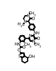 Cc1c(NC(=O)Oc2cc3c(s2)CCCC3O)cccc1-c1cn(C)c(=O)c(Nc2ccc(C3C(=O)N(C)CCN3C)cc2)n1